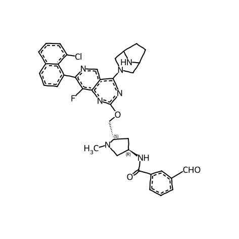 CN1C[C@H](NC(=O)c2cccc(C=O)c2)C[C@H]1COc1nc(N2CC3CCC(C2)N3)c2cnc(-c3cccc4cccc(Cl)c34)c(F)c2n1